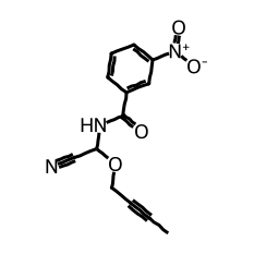 CC#CCOC(C#N)NC(=O)c1cccc([N+](=O)[O-])c1